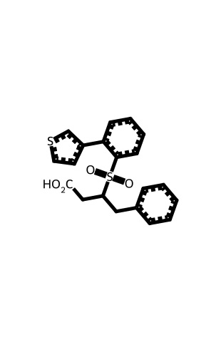 O=C(O)CC(Cc1ccccc1)S(=O)(=O)c1ccccc1-c1ccsc1